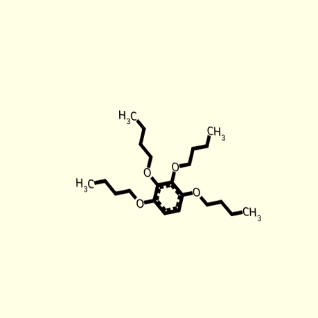 CCCCOc1ccc(OCCCC)c(OCCCC)c1OCCCC